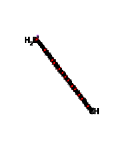 BC(I)C#CC#CC#CC#CC#CC#CC#CC#CC#CC#CC#CC#CC#CC#CC#CC#CC#CC#CC#CC#CC#CC#CC#CC#CC#CC#CC#CC#C